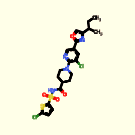 CCC(C)c1coc(-c2cnc(N3CCC(C(=O)NS(=O)(=O)c4ccc(Cl)s4)CC3)c(Cl)c2)n1